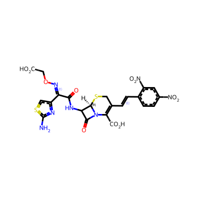 Nc1nc(/C(=N\OCC(=O)O)C(=O)NC2C(=O)N3C(C(=O)O)=C(/C=C/c4ccc([N+](=O)[O-])cc4[N+](=O)[O-])CS[C@H]23)cs1